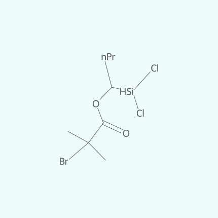 CCCC(OC(=O)C(C)(C)Br)[SiH](Cl)Cl